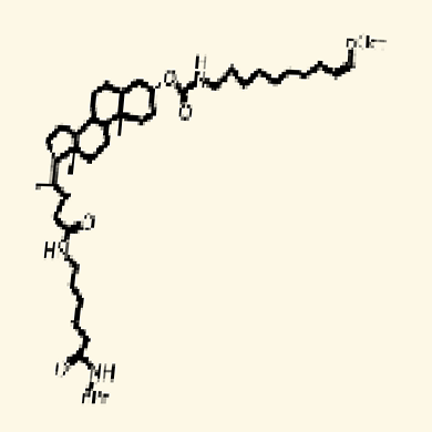 CCCCCCCC/C=C\CCCCCCCCNC(=O)O[C@@H]1CC[C@@]2(C)C(CCC3C2CC[C@@]2(C)C3CC[C@@H]2[C@H](C)CCC(=O)NCCCCCC(=O)NCCC)C1